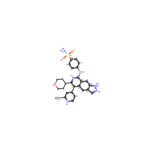 Cc1cc(-c2c(C3CCOCC3)nc(Oc3ccc(S(N)(=O)=O)cc3)c3cc4[nH]ncc4cc23)ccn1